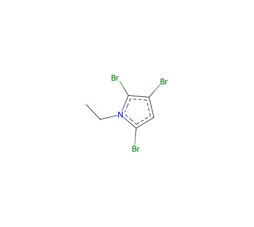 CCn1c(Br)cc(Br)c1Br